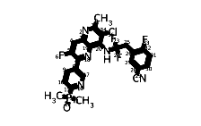 Cc1nc2cc(F)c(-c3ccc(P(C)(C)=O)nc3)nc2c(NC(F)(F)Cc2cc(C#N)ccc2F)c1Cl